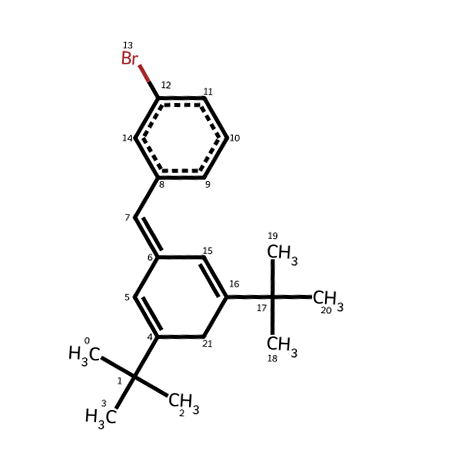 CC(C)(C)C1=CC(=Cc2cccc(Br)c2)C=C(C(C)(C)C)C1